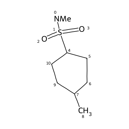 CNS(=O)(=O)C1CCC(C)CC1